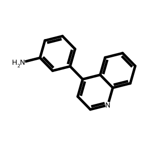 Nc1cccc(-c2ccnc3ccccc23)c1